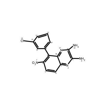 Nc1nc2ccc([N+](=O)[O-])c(-c3cccc(Cl)c3)c2nc1N